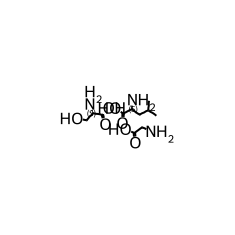 CC(C)C[C@H](N)C(=O)O.NCC(=O)O.N[C@@H](CO)C(=O)O